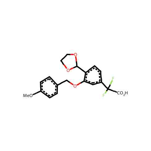 COc1ccc(COc2cc(C(F)(F)C(=O)O)ccc2C2OCCO2)cc1